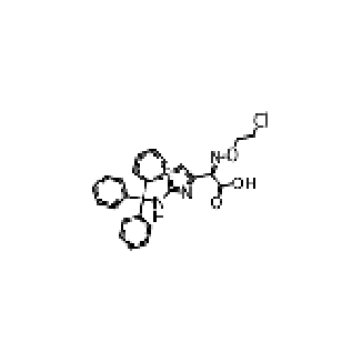 O=C(O)/C(=N\OCCCl)c1csc(NC(c2ccccc2)(c2ccccc2)c2ccccc2)n1